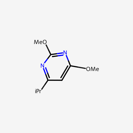 COc1cc(C(C)C)nc(OC)n1